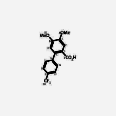 COc1cc(C(=O)O)c(-c2ccc(C(F)(F)F)cc2)cc1OC